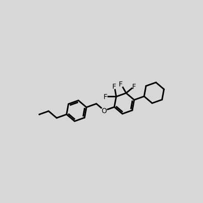 CCCc1ccc(COC2=CC=C(C3CCCCC3)C(F)(F)C2(F)F)cc1